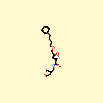 O=C(NCC1CCOC1)c1cc(COCCCCc2ccccc2)on1